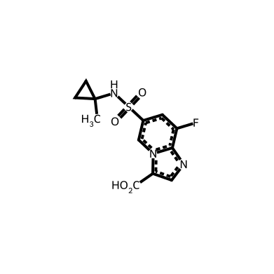 CC1(NS(=O)(=O)c2cc(F)c3ncc(C(=O)O)n3c2)CC1